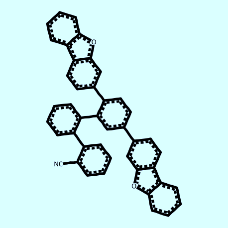 N#Cc1ccccc1-c1ccccc1-c1cc(-c2ccc3c(c2)oc2ccccc23)ccc1-c1ccc2c(c1)oc1ccccc12